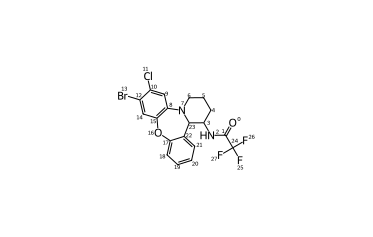 O=C(NC1CCCN2c3cc(Cl)c(Br)cc3Oc3ccccc3C12)C(F)(F)F